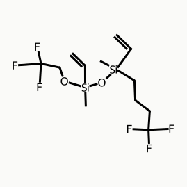 C=C[Si](C)(CCCC(F)(F)F)O[Si](C)(C=C)OCC(F)(F)F